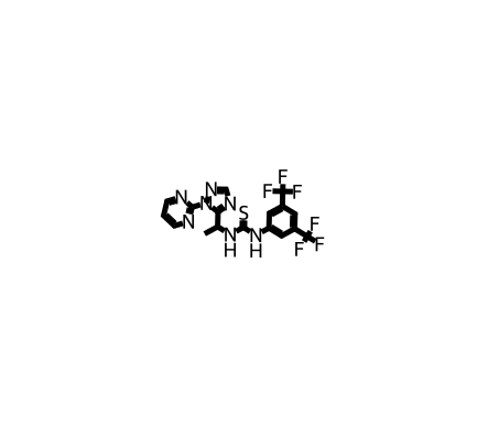 CC(NC(=S)Nc1cc(C(F)(F)F)cc(C(F)(F)F)c1)c1ncnn1-c1ncccn1